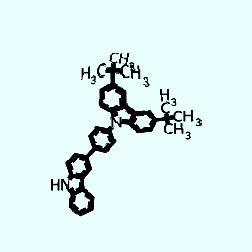 CC(C)(C)c1ccc2c(c1)c1cc(C(C)(C)C)ccc1n2-c1ccc(-c2ccc3[nH]c4ccccc4c3c2)cc1